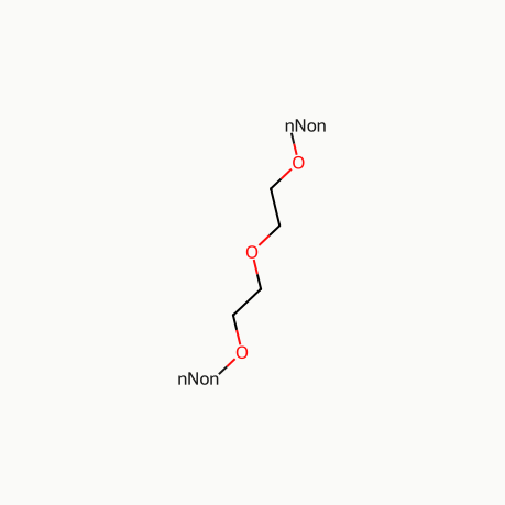 CCCCCCCCCOCCOCCOCCCCCCCCC